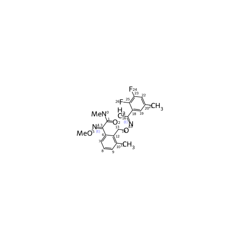 CNC(=O)/C(=N/OC)c1cccc(C)c1CO/N=C(\C)c1cc(C)cc(F)c1F